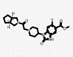 COC(=O)c1cc2[nH]c(=O)n(C3CCN(CC(=O)N4C[C@H]5CCC[C@H]5C4)CC3)c2cc1F